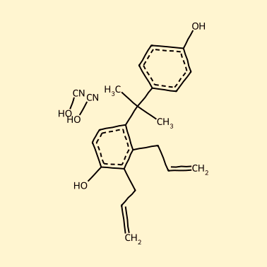 C=CCc1c(O)ccc(C(C)(C)c2ccc(O)cc2)c1CC=C.N#CO.N#CO